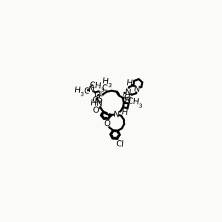 CO[C@]1(CN2CCN3CCCC[C@@H]3C2)/C=C/C[C@H](C)[C@@H](CCN(C)C)S(=O)(=O)NC(=O)c2ccc3c(c2)N(CCCCc2cc(Cl)ccc2CO3)C[C@@H]2CC[C@H]21